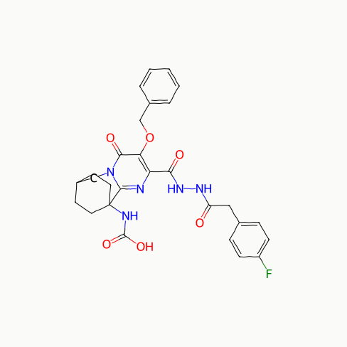 O=C(O)NC12CCC(CC1)Cn1c2nc(C(=O)NNC(=O)Cc2ccc(F)cc2)c(OCc2ccccc2)c1=O